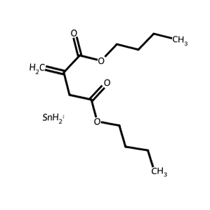 C=C(CC(=O)OCCCC)C(=O)OCCCC.[SnH2]